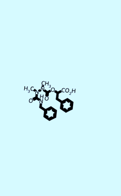 CN(C(=O)NCc1ccccc1)N(C)C(=O)OC(Cc1ccccc1)C(=O)O